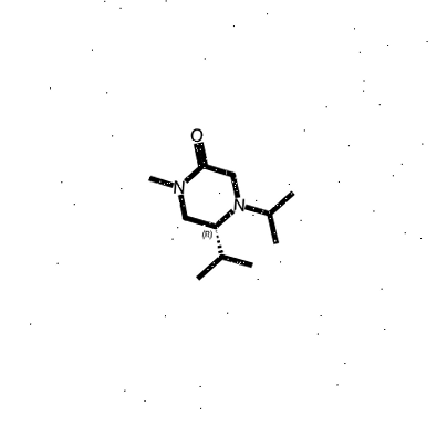 CC(C)[C@@H]1CN(C)C(=O)CN1C(C)C